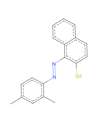 Cc1ccc(/N=N/c2c(S)ccc3ccccc23)c(C)c1